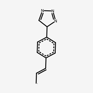 [CH2]C=Cc1ccc(C2C=NN=N2)cc1